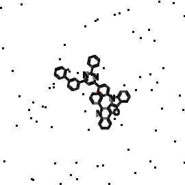 c1ccc(-c2cccc(-c3cc(-c4ccc(-n5c6ccccc6c6oc7c8ccccc8nc(-c8ccccc8)c7c65)cc4)nc(-c4ccccc4)n3)c2)cc1